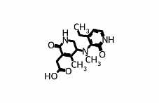 CCc1cc[nH]c(=O)c1N(C)C1CNC(=O)C(CC(=O)O)=C1C